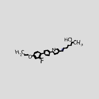 C=CCOc1ccc(-c2ccc(-c3ccc(/C=C/CCCC(C)O)cn3)cc2)c(F)c1